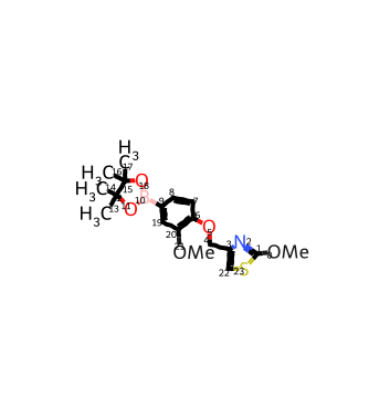 COc1nc(COc2ccc(B3OC(C)(C)C(C)(C)O3)cc2OC)cs1